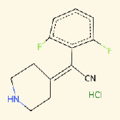 Cl.N#CC(=C1CCNCC1)c1c(F)cccc1F